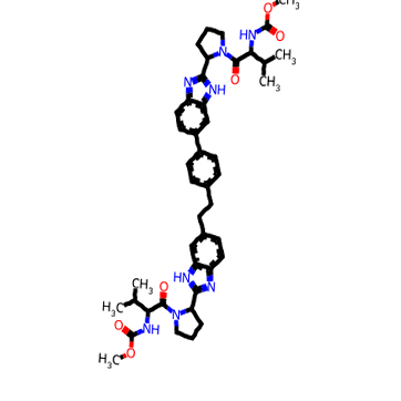 COC(=O)NC(C(=O)N1CCCC1c1nc2ccc(CCc3ccc(-c4ccc5nc(C6CCCN6C(=O)C(NC(=O)OC)C(C)C)[nH]c5c4)cc3)cc2[nH]1)C(C)C